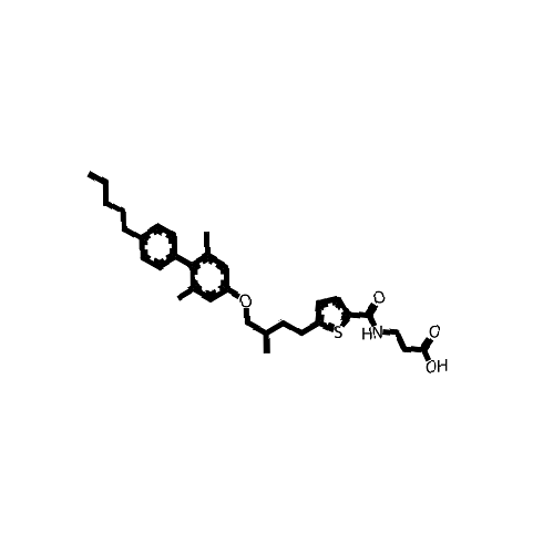 CCCCCc1ccc(-c2c(C)cc(OCC(C)CCc3ccc(C(=O)NCCC(=O)O)s3)cc2C)cc1